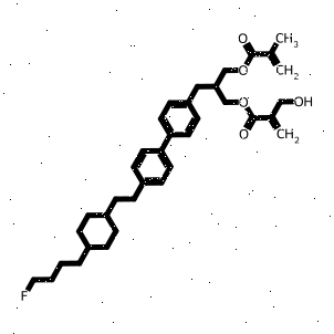 C=C(C)C(=O)OCC(COC(=O)C(=C)CO)Cc1ccc(-c2ccc(CCC3CCC(CCCCF)CC3)cc2)cc1